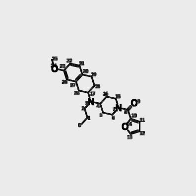 CCCN(C1CCN(C(=O)c2ccco2)CC1)C1CCc2ccc(OC)cc2C1